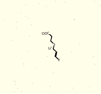 O=C([O-])CCSCC=CF.[Li+]